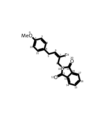 COc1ccc(C/C=C(/F)CN2C(=O)c3ccccc3C2=O)cc1